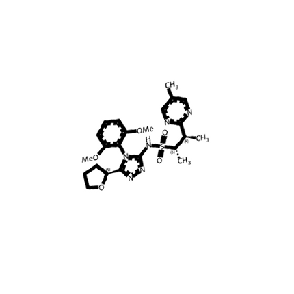 COc1cccc(OC)c1-n1c(NS(=O)(=O)[C@@H](C)[C@H](C)c2ncc(C)cn2)nnc1[C@@H]1CCCO1